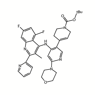 Cc1c(-c2ccccn2)nc2cc(F)cc(F)c2c1Nc1cc(N2CCOCC2)ncc1C1=CCN(C(=O)OC(C)(C)C)CC1